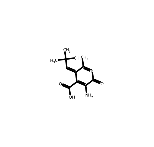 CC1=NC(=O)C(N)=C(C(=O)O)C1=CC(C)(C)C